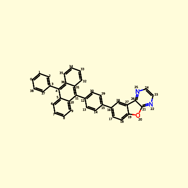 c1ccc(-c2c3ccccc3c(-c3ccc(-c4ccc5oc6nccnc6c5c4)cc3)c3ccccc23)cc1